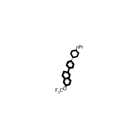 CCC[C@H]1CC[C@H](c2ccc(-c3ccc4cc(OC(F)(F)F)ccc4c3)cc2)CC1